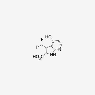 O=C(O)c1[nH]c2nccc(O)c2c1C(F)F